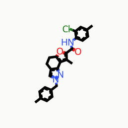 Cc1ccc(Cn2cc3c(n2)-c2c(oc(C(=O)Nc4ccc(C)cc4Cl)c2C)CC3)cc1